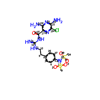 CS(=O)(=O)N(c1ccc(CCNC(=N)NC(=O)c2nc(Cl)c(N)nc2N)cc1)S(C)(=O)=O